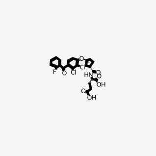 O=C(O)CC[C@H](NC(=O)[C@H]1CC[C@H](Oc2ccc(C(=O)c3ccccc3F)c(Cl)c2Cl)C1)C(=O)O